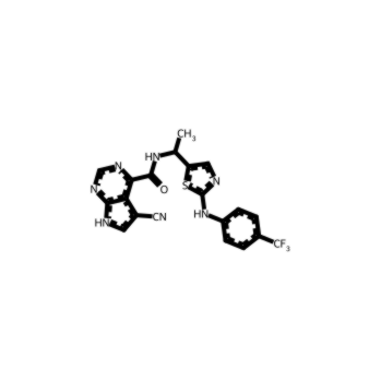 CC(NC(=O)c1ncnc2[nH]cc(C#N)c12)c1cnc(Nc2ccc(C(F)(F)F)cc2)s1